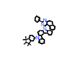 CC1C(C)(C)c2ccc(-n3c4ccccc4c4c5c6ccccc6n(-c6nc(-c7ccccc7)nc7ccc8ccccc8c67)c5ccc43)cc2C1(C)C